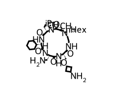 CCCCCCN1CCNC(=O)[C@H](CO[C@H]2C[C@H](N)C2)NC(=O)[C@H](CN)NC(=O)[C@H](C2CCCCC2)NC(=O)[C@H](CC(C)C)N(C)C(=O)[C@@H]1C